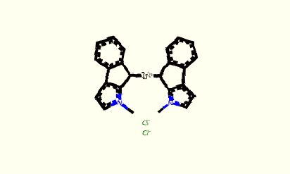 Cn1ccc2c1[CH]([Zr+2][CH]1c3ccccc3-c3ccn(C)c31)c1ccccc1-2.[Cl-].[Cl-]